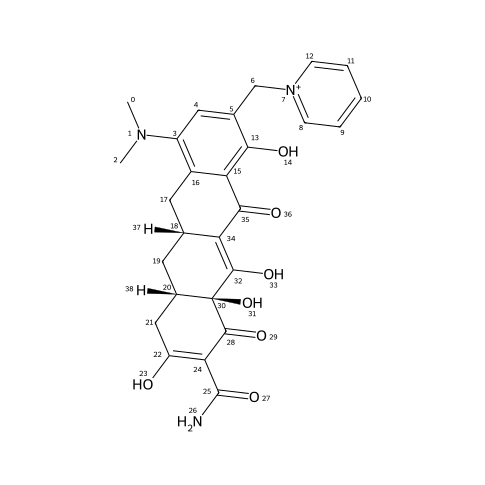 CN(C)c1cc(C[n+]2ccccc2)c(O)c2c1C[C@H]1C[C@H]3CC(O)=C(C(N)=O)C(=O)[C@@]3(O)C(O)=C1C2=O